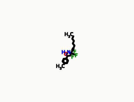 CCCCCCC#CC(N)(CC(=O)c1ccc(C)cc1)C(F)(F)F